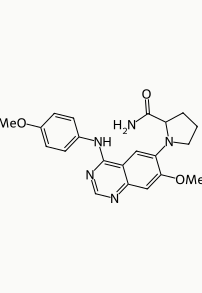 COc1ccc(Nc2ncnc3cc(OC)c(N4CCCC4C(N)=O)cc23)cc1